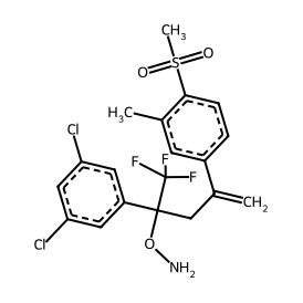 C=C(CC(ON)(c1cc(Cl)cc(Cl)c1)C(F)(F)F)c1ccc(S(C)(=O)=O)c(C)c1